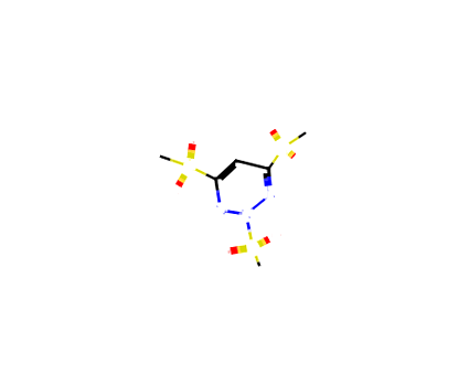 CS(=O)(=O)C1=CC(S(C)(=O)=O)=NN(S(C)(=O)=O)N1